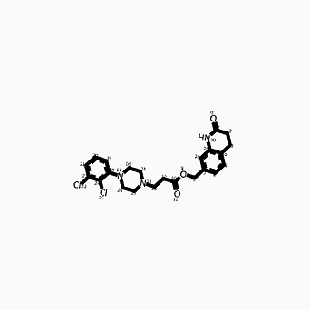 O=C1CCc2ccc(COC(=O)CCN3CCN(c4cccc(Cl)c4Cl)CC3)cc2N1